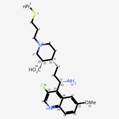 CCCSCCCN1CC[C@H](CC[C@H](N)c2c(F)cnc3ccc(OC)cc23)[C@H](C(=O)O)C1